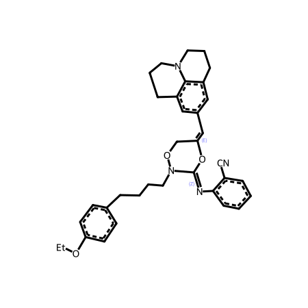 CCOc1ccc(CCCCN2OC/C(=C\c3cc4c5c(c3)CCCN5CCC4)O/C2=N\c2ccccc2C#N)cc1